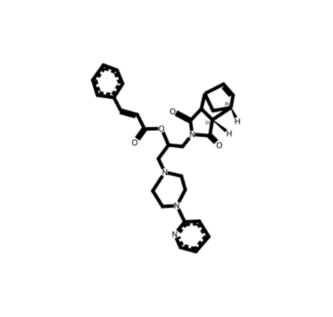 O=C(C=Cc1ccccc1)OC(CN1CCN(c2ccccn2)CC1)CN1C(=O)C2C3C=C[C@@H](C3)[C@@H]2C1=O